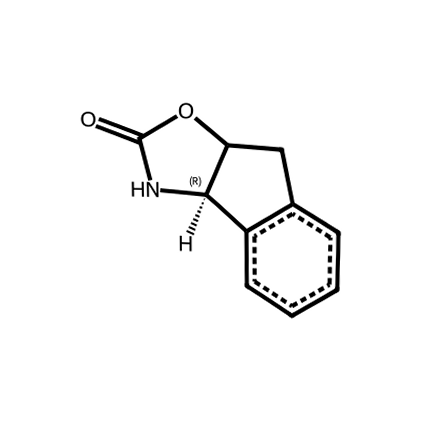 O=C1N[C@@H]2c3ccccc3CC2O1